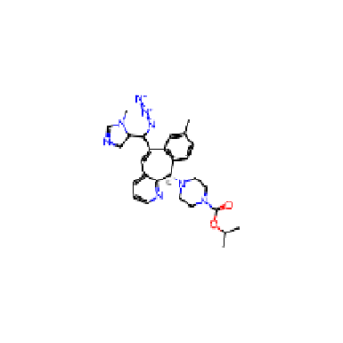 Cc1ccc2c(c1)C(C(N=[N+]=[N-])C1CN=CN1C)=Cc1cccnc1[C@H]2N1CCN(C(=O)OC(C)C)CC1